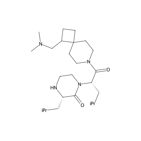 CC(C)C[C@@H]1NCCN([C@@H](CC(C)C)C(=O)N2CCC3(CCC3CN(C)C)CC2)C1=O